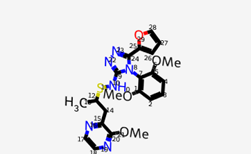 COc1cccc(OC)c1-n1c(NSC(C)Cc2nccnc2OC)nnc1-c1ccco1